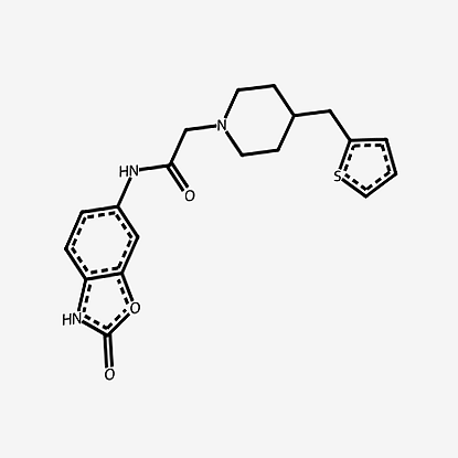 O=C(CN1CCC(Cc2cccs2)CC1)Nc1ccc2[nH]c(=O)oc2c1